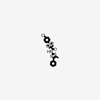 Cc1sc(NC(=O)C(C)(C)S(=O)(=O)c2ccc(Cl)cc2)nc1-c1ccccc1